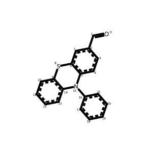 O=Cc1ccc2c(c1)Sc1ccccc1N2c1ccccc1